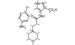 Nc1ccc(F)cc1.O=C(CCN1CCOCC1)Nc1c[nH]nc1C(=O)O